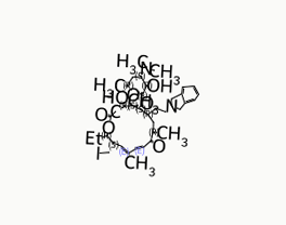 CC[C@H]1OC(=O)C[C@@H](O)[C@H](C)[C@@H](O[C@@H]2O[C@H](C)C[C@H](N(C)C)[C@H]2O)[C@@H](CCN2Cc3ccccc3C2)C[C@@H](C)C(=O)/C=C/C(C)=C/[C@@H]1CI